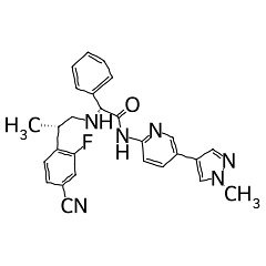 C[C@H](CN[C@@H](C(=O)Nc1ccc(-c2cnn(C)c2)cn1)c1ccccc1)c1ccc(C#N)cc1F